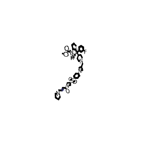 COC(=O)N[C@H]1CCC[C@@H]1[C@](C#N)(c1cccc(F)c1)C1CCN(CC2CN(c3ccc(S(=O)(=O)C4CN(C(=O)/C=C/CN5CCCC5)C4)cc3)C2)CC1